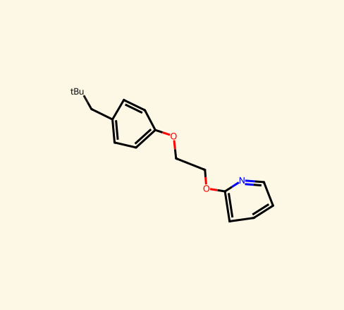 CC(C)(C)Cc1ccc(OCCOc2ccccn2)cc1